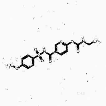 CCNC(=O)Oc1ccc(C(=O)NS(=O)(=O)c2ccc(OC)cc2)cn1